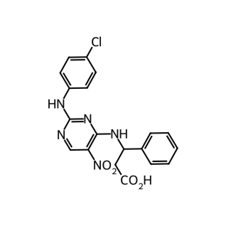 O=C(O)CC(Nc1nc(Nc2ccc(Cl)cc2)ncc1[N+](=O)[O-])c1ccccc1